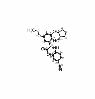 CCOc1cc(OC2CCCC2O)cc(C(Nc2ccc(C#N)cc2)C(=O)O)c1